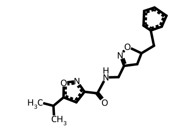 CC(C)c1cc(C(=O)NCC2=NOC(Cc3ccccc3)C2)no1